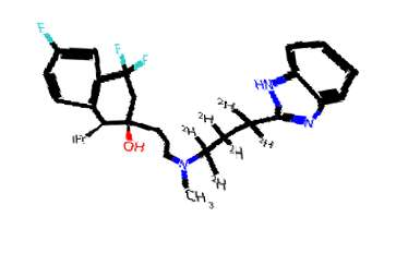 [2H]C([2H])(c1nc2ccccc2[nH]1)C([2H])([2H])C([2H])([2H])N(C)CC[C@@]1(O)CC(F)(F)c2cc(F)ccc2[C@@H]1C(C)C